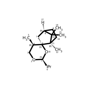 CC(C)[C@H]1OC[C@@H](C)[C@]2(C[C@H]3CC[C@]2(C)C3(C)C)O1